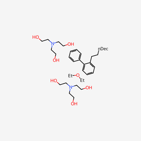 CCCCCCCCCCCCc1ccccc1-c1ccccc1.CCOCC.OCCN(CCO)CCO.OCCN(CCO)CCO